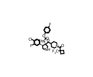 CCN(C(=O)Oc1ccc(F)cc1)[C@]1(C(=O)C2CCN(C(=O)C3(C(F)(F)F)CCC3)CC2)CNC[C@H]1c1ccc(Cl)c(F)c1